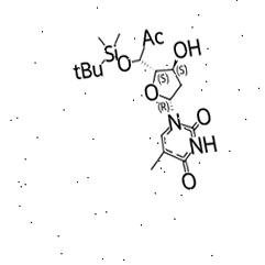 CC(=O)C(O[Si](C)(C)C(C)(C)C)[C@H]1O[C@@H](n2cc(C)c(=O)[nH]c2=O)C[C@@H]1O